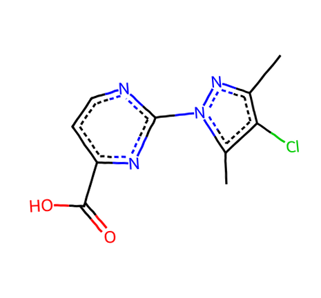 Cc1nn(-c2nccc(C(=O)O)n2)c(C)c1Cl